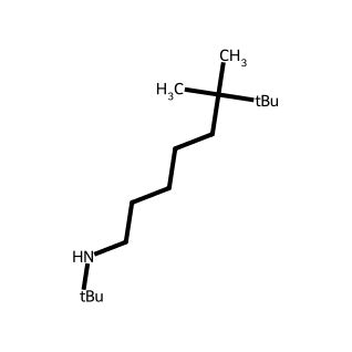 CC(C)(C)NCCCCCC(C)(C)C(C)(C)C